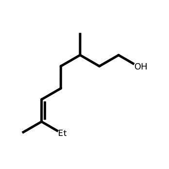 CC/C(C)=C\CCC(C)CCO